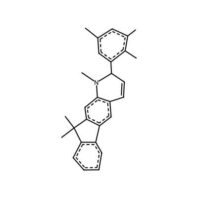 Cc1cc(C)c(C)c(C2C=Cc3cc4c(cc3N2C)C(C)(C)c2ccccc2-4)c1